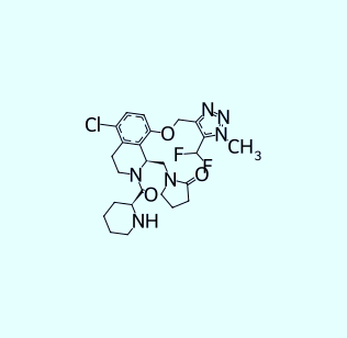 Cn1nnc(COc2ccc(Cl)c3c2[C@@H](CN2CCCC2=O)N(C(=O)[C@@H]2CCCCN2)CC3)c1C(F)F